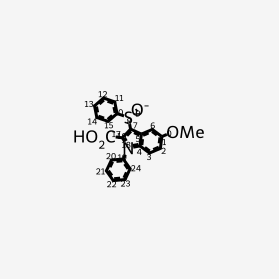 COc1ccc2c(c1)c([S+]([O-])c1ccccc1)c(C(=O)O)n2-c1ccccc1